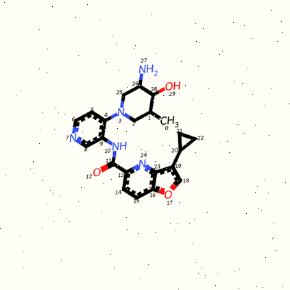 CC1CN(c2ccncc2NC(=O)c2ccc3occ(C4CC4)c3n2)CC(N)C1O